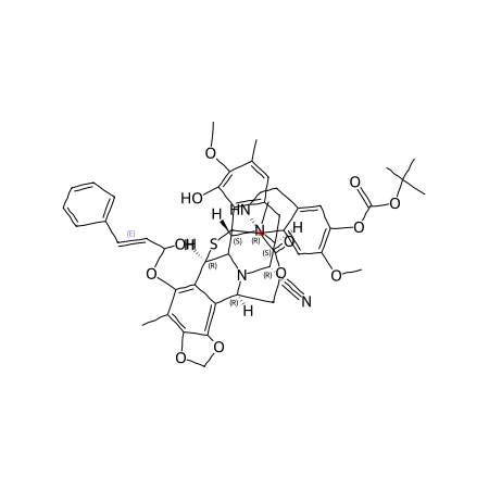 COc1cc2c(cc1OC(=O)OC(C)(C)C)CCN[C@]21CS[C@@H]2c3c(OC(O)/C=C/c4ccccc4)c(C)c4c(c3[C@H](COC1=O)N1C2[C@@H]2c3c(cc(C)c(OC)c3O)C[C@@H]([C@@H]1C#N)N2C)OCO4